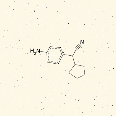 N#CC(c1ccc(N)cc1)C1CCCC1